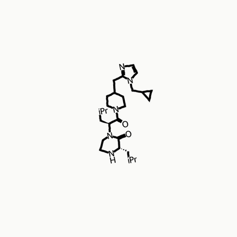 CC(C)C[C@@H]1NCCN([C@@H](CC(C)C)C(=O)N2CCC(Cc3nccn3CC3CC3)CC2)C1=O